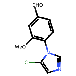 COc1cc(C=O)ccc1-n1cncc1Cl